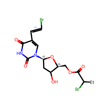 CCC(Br)C(=O)OC[C@@H]1O[C@H](n2cc(/C=C/Br)c(=O)[nH]c2=O)CC1O